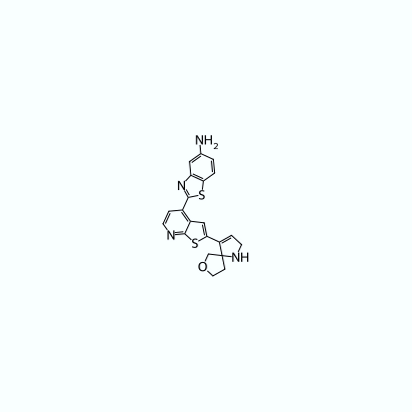 Nc1ccc2sc(-c3ccnc4sc(C5=CCNC56CCOC6)cc34)nc2c1